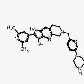 Cc1cc(-c2[nH]c3cc4c(nc3c2C(C)C)CN(Cc2ccc(N3CCNCC3)cn2)CC4)cc(C)n1